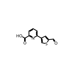 O=Cc1cc(-c2cccc(C(=O)O)n2)cs1